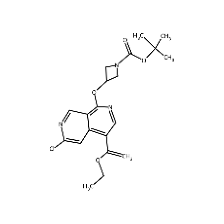 C=C(OCC)c1cnc(OC2CN(C(=O)OC(C)(C)C)C2)c2cnc(Cl)cc12